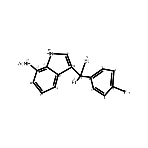 CCC(CC)(c1ccc(F)cc1)c1c[nH]c2c(NC(C)=O)cccc12